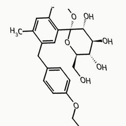 Cc1cc2c(cc1Cc1ccc(OCO)cc1)[C@]1(OCO2)O[C@H](CO)[C@@H](O)[C@H](O)[C@H]1O